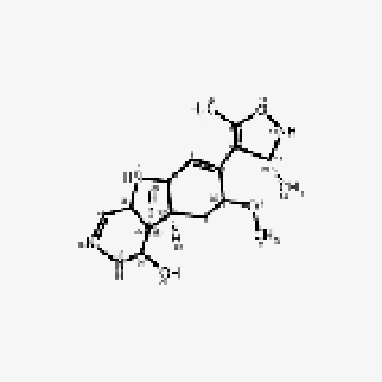 CO[C@H]1C[C@@H]2C(C=C1C1=C(C)ON[C@@H]1C)NC1C=NNC(O)[C@@H]12